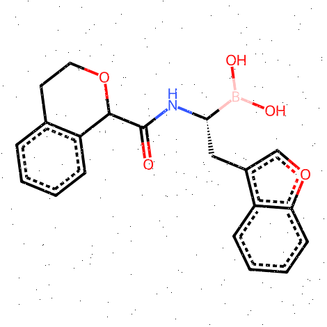 O=C(N[C@@H](Cc1coc2ccccc12)B(O)O)C1OCCc2ccccc21